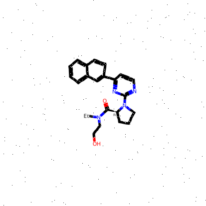 CCN(CCO)C(=O)[C@@H]1CCCN1c1nccc(-c2ccc3ccccc3c2)n1